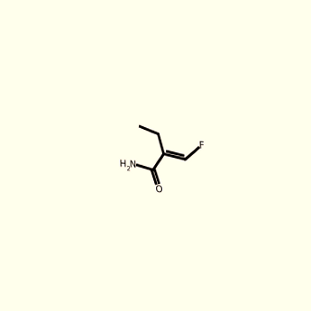 CC/C(=C\F)C(N)=O